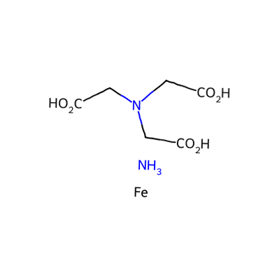 N.O=C(O)CN(CC(=O)O)CC(=O)O.[Fe]